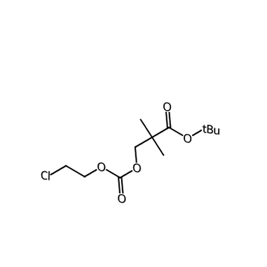 CC(C)(C)OC(=O)C(C)(C)COC(=O)OCCCl